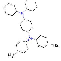 CC1C=C[C@@H](N(C2C=C[C@@H](C(C)(C)C)CC2)C2CCC(N(C3CCCCC3)C3CCCCC3)CC2)CC1